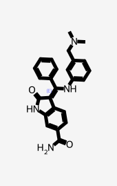 CN(C)Cc1cccc(N/C(=C2/C(=O)Nc3cc(C(N)=O)ccc32)c2ccccc2)c1